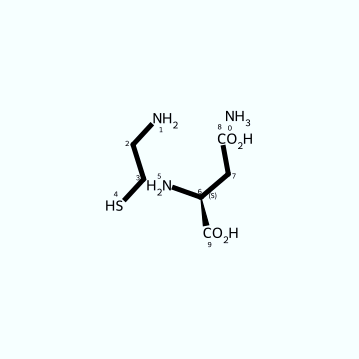 N.NCCS.N[C@@H](CC(=O)O)C(=O)O